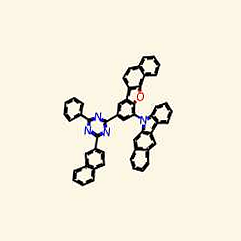 c1ccc(-c2nc(-c3ccc4ccccc4c3)nc(-c3cc(-n4c5ccccc5c5cc6ccccc6cc54)c4oc5c6ccccc6ccc5c4c3)n2)cc1